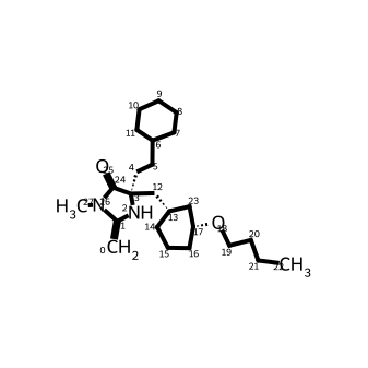 C=C1N[C@](CCC2CCCCC2)(C[C@H]2CCC[C@@H](OCCCC)C2)C(=O)N1C